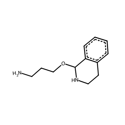 NCCCOC1NCCc2ccccc21